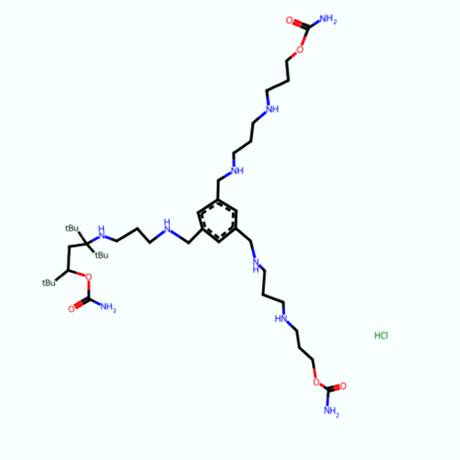 CC(C)(C)C(CC(NCCCNCc1cc(CNCCCNCCCOC(N)=O)cc(CNCCCNCCCOC(N)=O)c1)(C(C)(C)C)C(C)(C)C)OC(N)=O.Cl